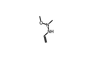 C=CNN(C)OC